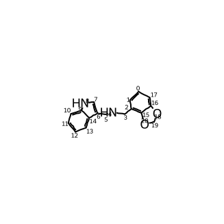 c1cc(CNCc2c[nH]c3ccccc23)c2c(c1)OCO2